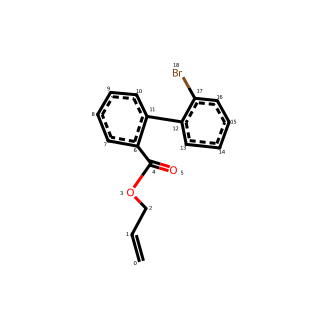 C=CCOC(=O)c1ccccc1-c1ccccc1Br